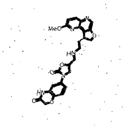 COc1ccc2ncc3c(c2n1)[C@H](CCNCC1CN(c2ccc4c(c2)NC(=O)CO4)C(=O)O1)CO3